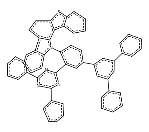 c1ccc(-c2cc(-c3ccccc3)cc(-c3ccc(-n4c5ccccc5c5ccc6sc7ccccc7c6c54)c(-c4nc(-c5ccccc5)nc(-c5ccccc5)n4)c3)c2)cc1